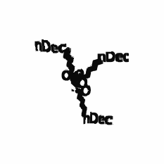 CCCCCCCCCCCCCCCC(=O)[CH][C@H](COC(=O)CCCCCCCCCCCCCCC)OC(=O)CCCCCCCCCCCCCCC